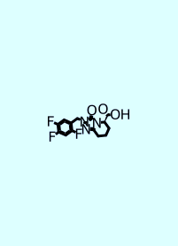 O=C(O)[C@H]1CCCc2nn(Cc3cc(F)c(F)cc3F)c(=O)n21